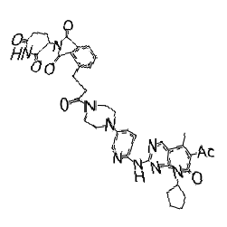 CC(=O)c1c(C)c2cnc(Nc3ccc(N4CCN(C(=O)CCc5cccc6c5C(=O)N(C5CCC(=O)NC5=O)C6=O)CC4)cn3)nc2n(C2CCCC2)c1=O